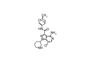 C=C/C=C\C(=C/C)NC(=O)c1nn([C@@H]2CCCNC2)c2c(Cl)cnc(N)c12